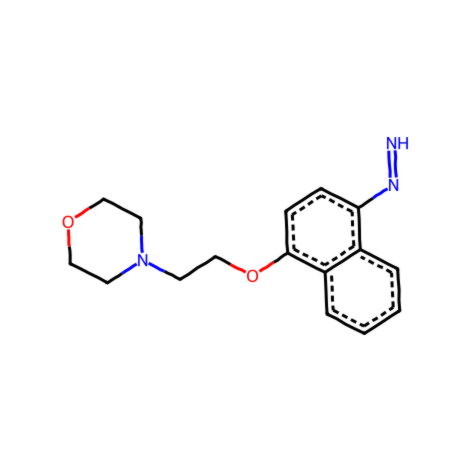 N=Nc1ccc(OCCN2CCOCC2)c2ccccc12